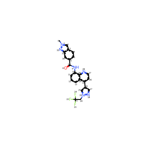 Cn1cc2ccc(C(=O)Nc3cccc4c(-c5cnn(CC(F)(F)F)c5)ccnc34)cc2n1